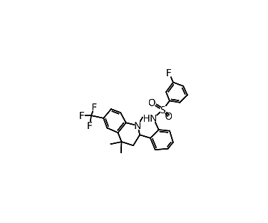 CN1c2ccc(C(F)(F)F)cc2C(C)(C)CC1c1ccccc1NS(=O)(=O)c1cccc(F)c1